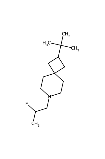 CC(F)CN1CCC2(CC1)CC(C(C)(C)C)C2